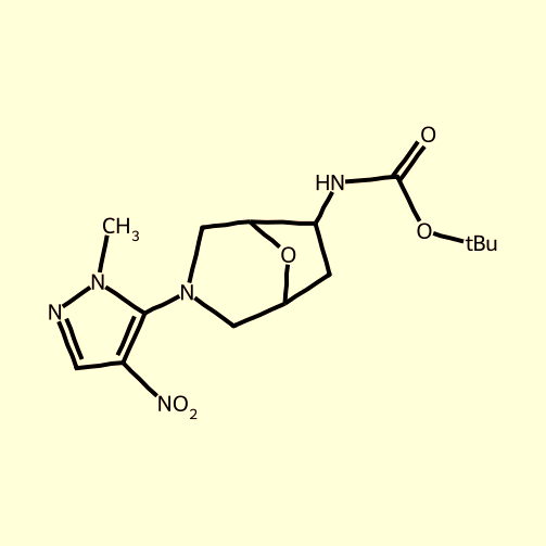 Cn1ncc([N+](=O)[O-])c1N1CC2CC(NC(=O)OC(C)(C)C)C(C1)O2